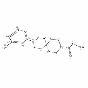 CC(C)(C)OC(=O)N1CCC2(CC1)CCN(c1cncc(C(F)(F)F)n1)CC2